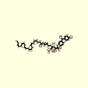 CC/C=C\C/C=C\C/C=C\C/C=C\C/C=C\C/C=C\CCC(=O)NCCCCC(NC(=O)C(C)(C)Oc1ccc(C(=O)c2ccc(Cl)cc2)cc1)C(=O)OC